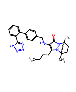 CCCCc1c(NCc2ccc(-c3ccccc3-c3nnn[nH]3)cc2)c(=O)n2n1C1(C)CCC2(C)CC1